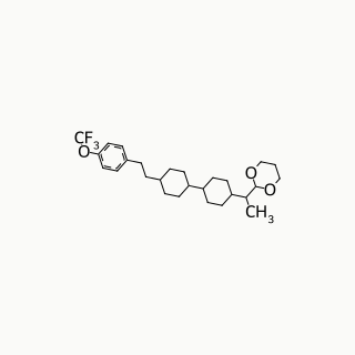 CC(C1CCC(C2CCC(CCc3ccc(OC(F)(F)F)cc3)CC2)CC1)C1OCCCO1